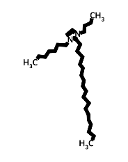 CCCCCCCCCCCCCCCCCCc1n(CCCC)cc[n+]1CCCCCCC